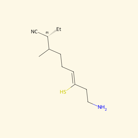 CC[C@@H](C#N)C(C)CCC=C(S)CCN